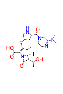 CC(O)C1C(=O)N2C(C(=O)O)=C(SC3CNC(C(=O)N4CCN=C(N(C)C)C4)C3)C(C)[C@@H]12